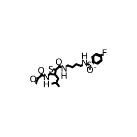 CC(C)CC1C(NC(=O)C2CO2)SC1C(=O)NCCCCN[S+]([O-])c1ccc(F)cc1